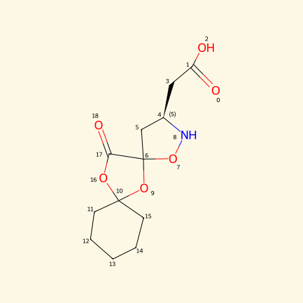 O=C(O)C[C@@H]1CC2(ON1)OC1(CCCCC1)OC2=O